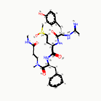 CNC(=O)CCN(C)C(=O)[C@H](Cc1ccccc1)NC(=O)[C@@H](CC[S+](C)[O-])NC(=O)[C@H](Cc1ccc(O)cc1)NC(C)=N